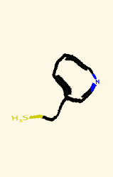 [SH5]Cc1cccnc1